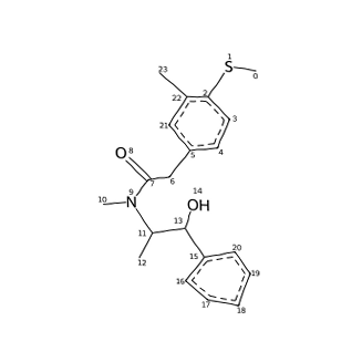 CSc1ccc(CC(=O)N(C)C(C)C(O)c2ccccc2)cc1C